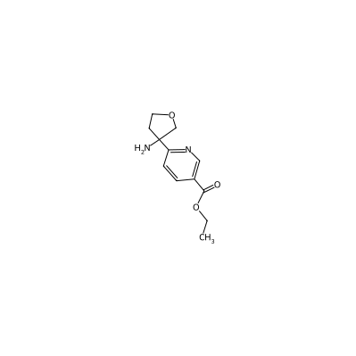 CCOC(=O)c1ccc(C2(N)CCOC2)nc1